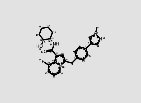 Cn1cc(-c2ccc(Cc3cc(C(=O)N[C@H]4CCCC[C@@H]4O)c4c(F)cccn34)cc2)cn1